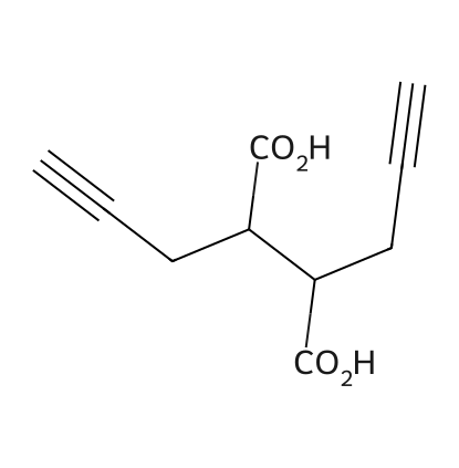 C#CCC(C(=O)O)C(CC#C)C(=O)O